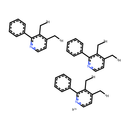 [2H]Cc1ccnc(-c2ccccc2)c1C[2H].[2H]Cc1ccnc(-c2ccccc2)c1C[2H].[2H]Cc1ccnc(-c2ccccc2)c1C[2H].[Ir+3]